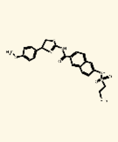 CCCS(=O)(=O)Nc1ccc2cc(C(=O)NC3=NC(c4ccc(OC)cc4)CS3)ccc2c1